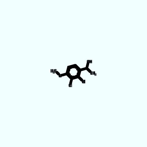 COc1ccc(C(C)O)c(Cl)c1Cl